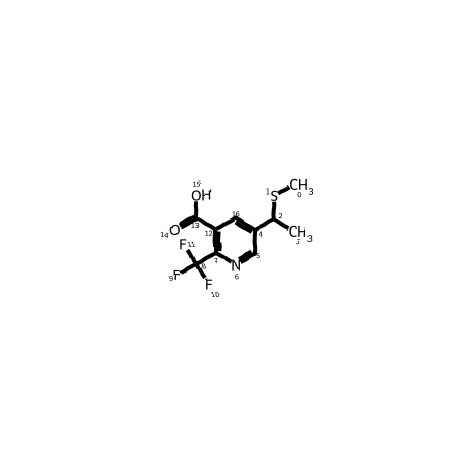 CSC(C)c1cnc(C(F)(F)F)c(C(=O)O)c1